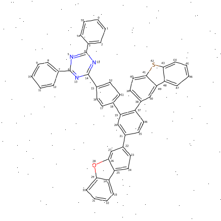 c1ccc(-c2nc(-c3ccccc3)nc(-c3ccc(-c4cc(-c5ccc6c(c5)oc5ccccc56)ccc4-c4ccc5sc6ccccc6c5c4)cc3)n2)cc1